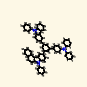 c1ccc(N(c2ccccc2)c2ccc(-c3cc(-c4ccc5c(c4)c4ccccc4n5-c4ccccc4)cc(-c4ccc5c(c4)c4c6ccccc6ccc4n5-c4ccccc4)c3)cc2)cc1